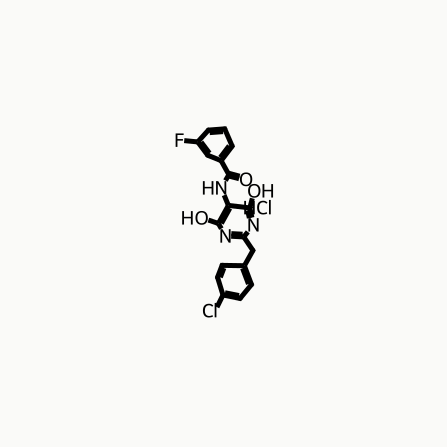 Cl.O=C(Nc1c(O)nc(Cc2ccc(Cl)cc2)nc1O)c1cccc(F)c1